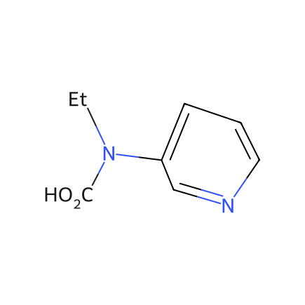 CCN(C(=O)O)c1cccnc1